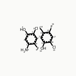 Nc1cc(O)c(Cl)cc1F.Oc1cc(I)c(F)cc1Cl